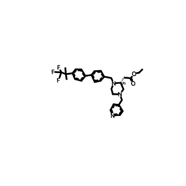 CCOC(=O)C[C@@H]1CN(Cc2ccncc2)CCN1Cc1ccc(-c2ccc(C(C)(C)C(F)(F)F)cc2)cc1